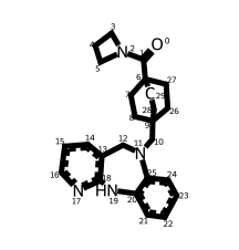 O=C(N1CCC1)C12CCC(CN3Cc4cccnc4Nc4ccccc43)(CC1)CC2